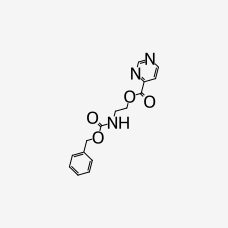 O=C(NCCOC(=O)c1ccncn1)OCc1ccccc1